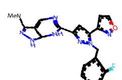 CNC1=NNC2NC(c3cc(-c4ccon4)n(Cc4ccccc4F)n3)=NC=C12